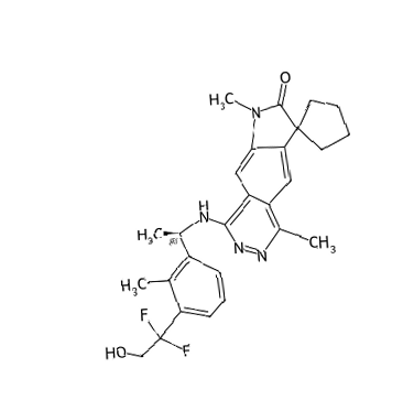 Cc1c([C@@H](C)Nc2nnc(C)c3cc4c(cc23)N(C)C(=O)C42CCCC2)cccc1C(F)(F)CO